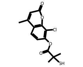 Cc1cc(=O)oc2c(Cl)c(OC(=O)C(C)(C)S)ccc12